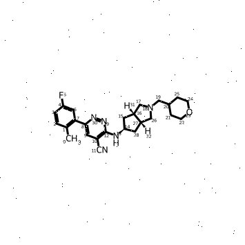 Cc1ccc(F)cc1-c1cc(C#N)c(N[C@H]2C[C@@H]3CN(CC4CCOCC4)C[C@@H]3C2)nn1